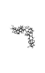 Cn1ccc(Oc2ccc(Nc3ncnc4ccc(N5C[C@@H]6C[C@H]5CN6C(=O)OC(C)(C)C)cc34)cc2Cl)n1